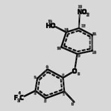 Cc1cc(C(F)(F)F)ccc1Oc1ccc([N+](=O)[O-])c(O)c1